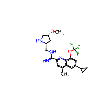 CO[C@H]1CN[C@H](CNC(=N)c2cc(C)c3cc(C4CC4)cc(OC(F)(F)F)c3n2)C1